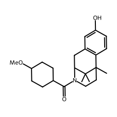 COC1CCC(C(=O)N2CCC3(C)c4ccc(O)cc4CC2C3(C)C)CC1